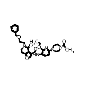 CCOc1nc(N2CCN(C(C)=O)CC2)ccc1NC(=O)c1coc2c1C(=O)N(CCOCc1ccccc1)CC2